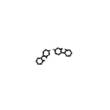 c1ccc2c(c1)oc1cc(Nc3ccc4c(c3)sc3ccccc34)ccc12